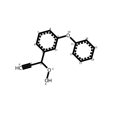 C#CC(OO)c1cccc(Oc2ccccc2)c1